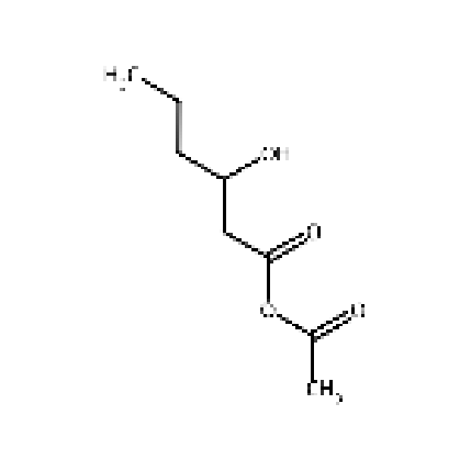 CCCC(O)CC(=O)OC(C)=O